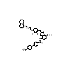 CCCc1ccc(-c2ccc(C(=O)Oc3ccc(O)c4c3S/C(=C\c3ccc(/C=N/N=C/c5cccc6c5CCCC6)c(F)c3F)S4)cc2)cc1